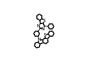 c1ccc(-c2nc(-c3cccc(-n4c5ccccc5c5ccc6c7ccccc7sc6c54)c3)nc3c2sc2ccccc23)cc1